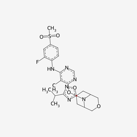 Cc1c(Nc2ccc(S(C)(=O)=O)cc2F)ncnc1OC1CC2COCC(C1)N2c1nc(C(C)C)no1